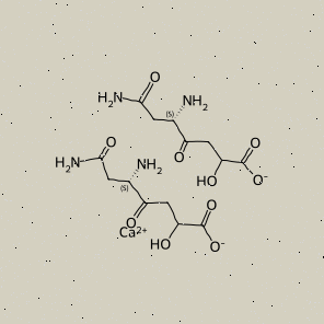 NC(=O)C[C@H](N)C(=O)CC(O)C(=O)[O-].NC(=O)C[C@H](N)C(=O)CC(O)C(=O)[O-].[Ca+2]